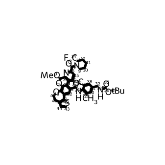 COC(=O)c1nc(C(=O)N2CCCC[C@H]2C(F)(F)F)ccc1-c1cc2c(cc1C(=O)Nc1c(C)cc(CNC(=O)OC(C)(C)C)cc1C)-c1sccc1CCO2